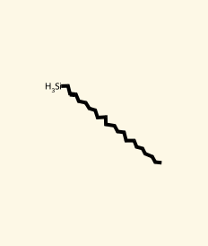 CCCCCCCCCCCCCCCCCCC=CC[SiH3]